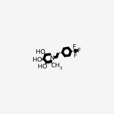 C[C@@H]1[C@@H](O)[C@H](O)[C@@H](O)CN1CC[C@H]1CC[C@@H](C(F)(F)F)CC1